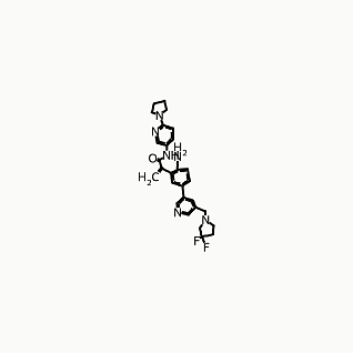 C=C(C(=O)Nc1ccc(N2CCCC2)nc1)c1cc(-c2cncc(CN3CCC(F)(F)C3)c2)ccc1N